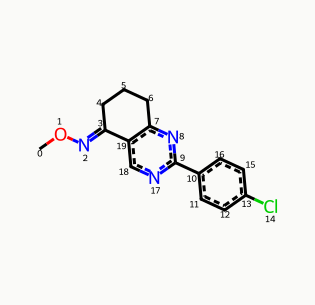 CON=C1CCCc2nc(-c3ccc(Cl)cc3)ncc21